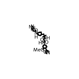 COc1cc(NC(=O)C(=O)NC(C)(C)Cc2ccc(NC(=O)Cn3cnnn3)cc2)ccc1-c1cnco1